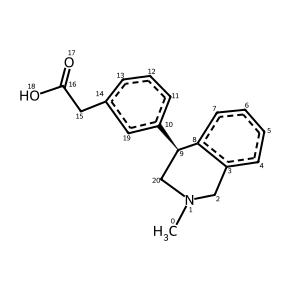 CN1Cc2ccccc2[C@H](c2cccc(CC(=O)O)c2)C1